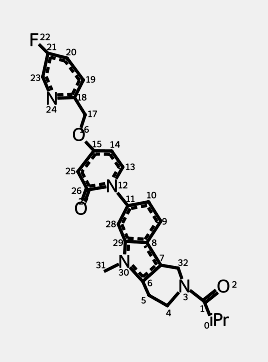 CC(C)C(=O)N1CCc2c(c3ccc(-n4ccc(OCc5ccc(F)cn5)cc4=O)cc3n2C)C1